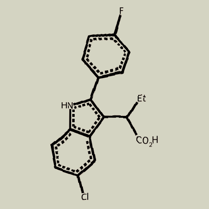 CCC(C(=O)O)c1c(-c2ccc(F)cc2)[nH]c2ccc(Cl)cc12